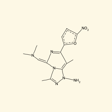 CC1=NN(N)C2=C(C)C(c3ccc([N+](=O)[O-])o3)=NC(=CN(C)C)N12